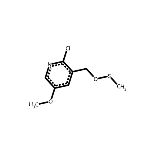 COc1cnc(Cl)c(COSC)c1